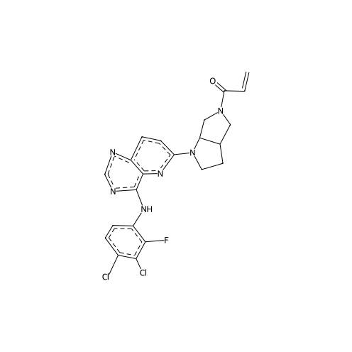 C=CC(=O)N1CC2CCN(c3ccc4ncnc(Nc5ccc(Cl)c(Cl)c5F)c4n3)C2C1